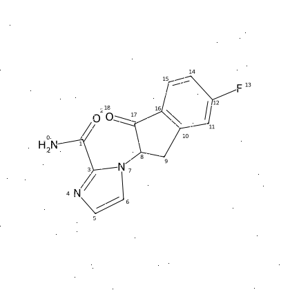 NC(=O)c1nccn1C1Cc2cc(F)ccc2C1=O